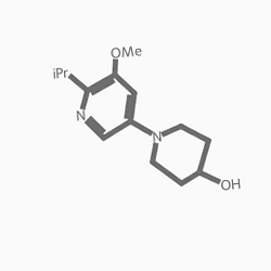 COc1cc(N2CCC(O)CC2)cnc1C(C)C